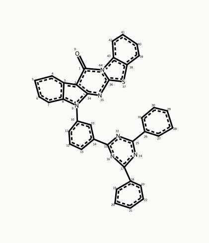 O=c1c2c3ccccc3n(-c3cccc(-c4nc(-c5ccccc5)nc(-c5ccccc5)n4)c3)c2nc2sc3ccccc3n12